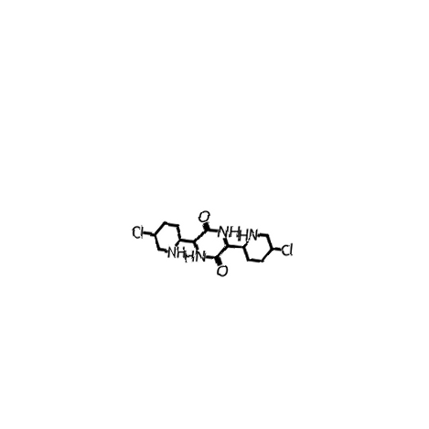 O=C1NC(C2CCC(Cl)CN2)C(=O)NC1C1CCC(Cl)CN1